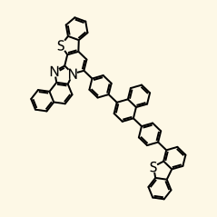 c1ccc2c(c1)ccc1c2nc2c3sc4ccccc4c3cc(-c3ccc(-c4ccc(-c5ccc(-c6cccc7c6sc6ccccc67)cc5)c5ccccc45)cc3)n12